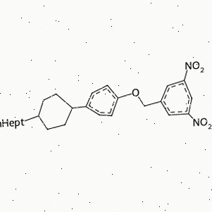 CCCCCCCC1CCC(c2ccc(OCc3cc([N+](=O)[O-])cc([N+](=O)[O-])c3)cc2)CC1